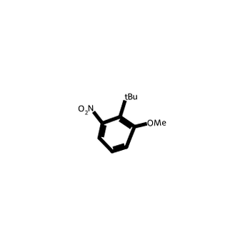 COc1cccc([N+](=O)[O-])c1C(C)(C)C